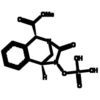 COC(=O)[C@H]1c2ccccc2[C@H]2CN1C(=O)N2OP(=O)(O)O